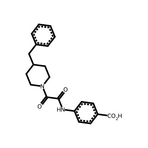 O=C(Nc1ccc(C(=O)O)cc1)C(=O)N1CCC(Cc2ccccc2)CC1